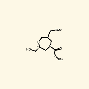 COCC1CO[C@H](CO)CN(C(=O)OC(C)(C)C)C1